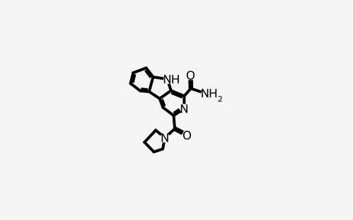 NC(=O)c1nc(C(=O)N2CCCC2)cc2c1[nH]c1ccccc12